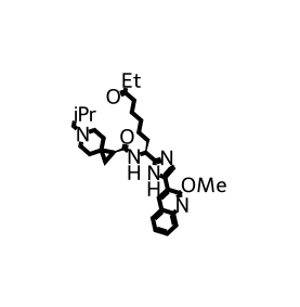 CCC(=O)CCCCC[C@H](NC(=O)[C@H]1CC12CCN(CC(C)C)CC2)c1ncc(-c2cc3ccccc3nc2OC)[nH]1